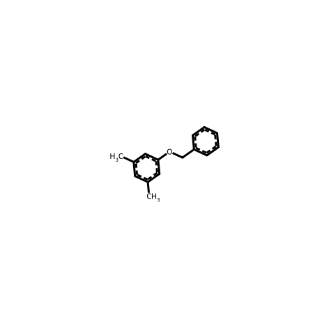 Cc1cc(C)cc(OCc2ccccc2)c1